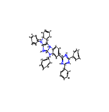 c1ccc(-c2nc(-c3ccccc3)nc(-c3ccc4c(c3)n(-c3ccccc3)c3nc5c(c6ccccc6n5-c5ccccc5)n43)n2)cc1